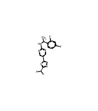 CC(Nc1ncc(-c2nnc(C(F)F)o2)cn1)c1ccc(F)cc1F